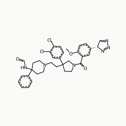 COc1ccc([C@@H]2C=NN=N2)cc1C(=O)N1CCC(CCN2CCC(NC=O)(c3ccccc3)CC2)(c2ccc(Cl)c(Cl)c2)C1